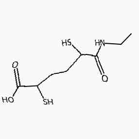 CCNC(=O)C(S)CCC(S)C(=O)O